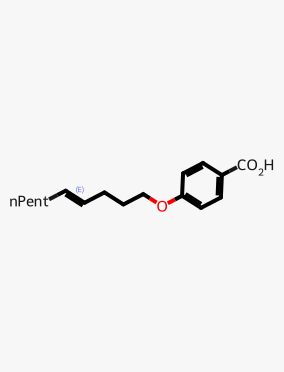 CCCCC/C=C/CCCOc1ccc(C(=O)O)cc1